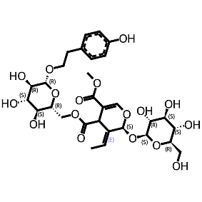 C/C=C1\C(C(=O)OC[C@H]2O[C@@H](OCCc3ccc(O)cc3)[C@H](O)[C@@H](O)[C@@H]2O)C(C(=O)OC)=CO[C@H]1O[C@@H]1O[C@H](CO)[C@@H](O)[C@H](O)[C@H]1O